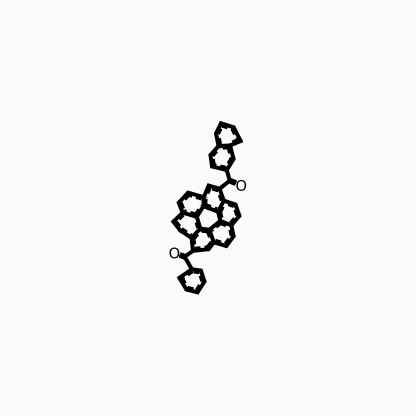 O=C(c1ccccc1)c1cc2ccc3ccc4c(C(=O)c5ccc6ccccc6c5)cc5ccc6ccc1c1c6c5c4c3c21